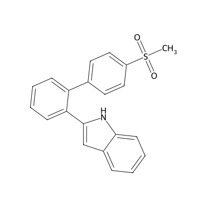 CS(=O)(=O)c1ccc(-c2ccccc2-c2cc3ccccc3[nH]2)cc1